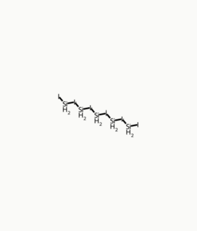 I[SiH2][I][SiH2][I][SiH2][I][SiH2][I][SiH2]I